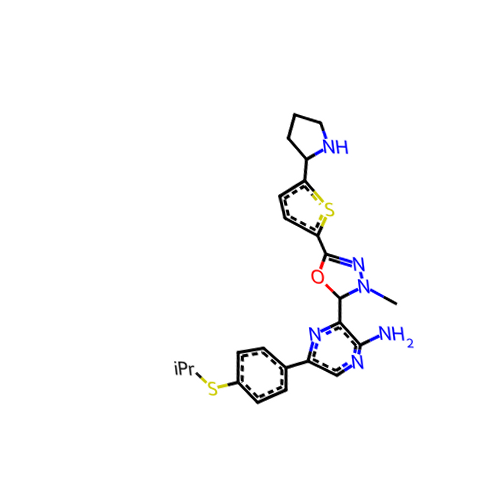 CC(C)Sc1ccc(-c2cnc(N)c(C3OC(c4ccc(C5CCCN5)s4)=NN3C)n2)cc1